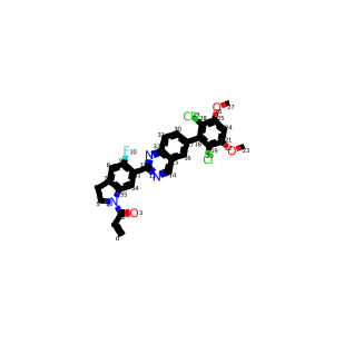 C=CC(=O)N1CCc2cc(F)c(-c3ncc4cc(-c5c(Cl)c(OC)cc(OC)c5Cl)ccc4n3)cc21